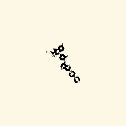 NC(=O)C1(C(=O)N(c2ccc(F)cc2)c2ccc(Oc3ccnc4cc(N5CCC(N6CCOCC6)CC5)cnc34)c(F)c2)CC1